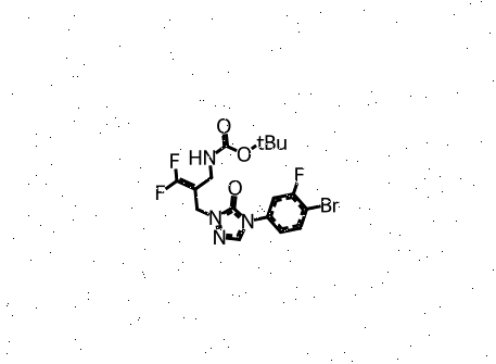 CC(C)(C)OC(=O)NCC(Cn1ncn(-c2ccc(Br)c(F)c2)c1=O)=C(F)F